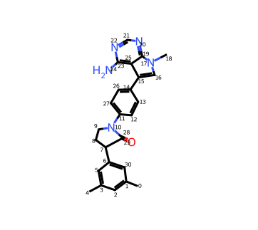 Cc1cc(C)cc(C2CCN(c3ccc(-c4cn(C)c5ncnc(N)c45)cc3)C2=O)c1